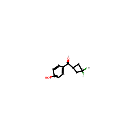 O=C(c1ccc(O)cc1)C1CC(F)(F)C1